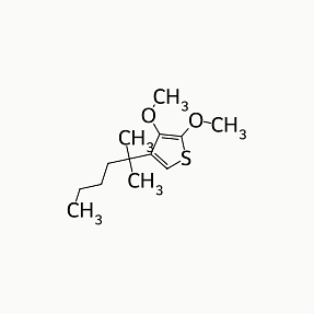 CCCCC(C)(C)c1csc(OC)c1OC